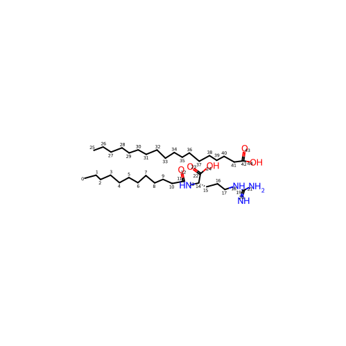 CCCCCCCCCCCC(=O)N[C@@H](CCCNC(=N)N)C(=O)O.CCCCCCCCCCCCCCCCCC(=O)O